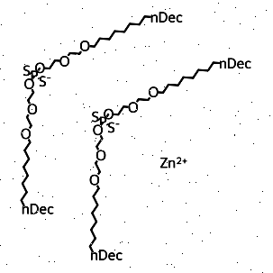 CCCCCCCCCCCCCCCCCCOCCOCCOP(=S)([S-])OCCOCCOCCCCCCCCCCCCCCCCCC.CCCCCCCCCCCCCCCCCCOCCOCCOP(=S)([S-])OCCOCCOCCCCCCCCCCCCCCCCCC.[Zn+2]